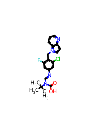 CC(C)(C)N(C=Nc1cc(F)c(Cn2ccc3ncccc32)c(Cl)c1)C(=O)O